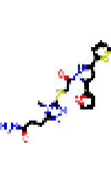 Cn1c(CCC(N)=O)nnc1SCC(=O)N1N=C(c2cccs2)CC1c1ccco1